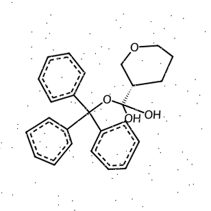 OC(O)(OC(c1ccccc1)(c1ccccc1)c1ccccc1)[C@H]1CCCOC1